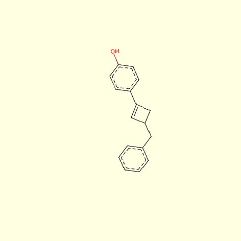 Oc1ccc(C2=CC(Cc3ccccc3)C2)cc1